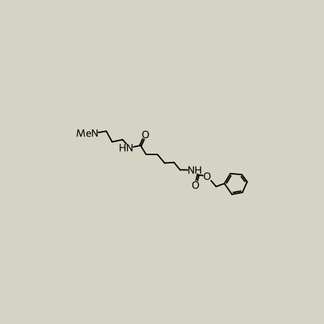 CNCCCNC(=O)CCCCCNC(=O)OCc1ccccc1